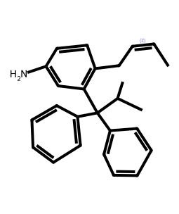 C/C=C\Cc1ccc(N)cc1C(c1ccccc1)(c1ccccc1)C(C)C